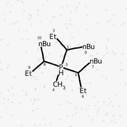 CCCCC(CC)[PH](C)(C(CC)CCCC)C(CC)CCCC